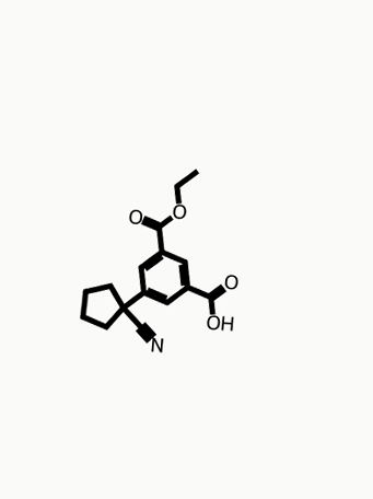 CCOC(=O)c1cc(C(=O)O)cc(C2(C#N)CCCC2)c1